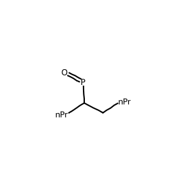 CCCCC(CCC)P=O